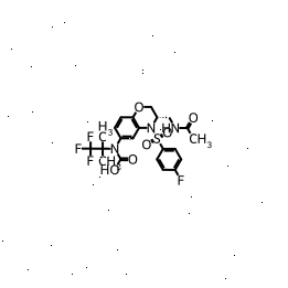 CC(=O)NC[C@H]1COc2ccc(N(C(=O)O)C(C)(C)C(F)(F)F)cc2N1S(=O)(=O)c1ccc(F)cc1